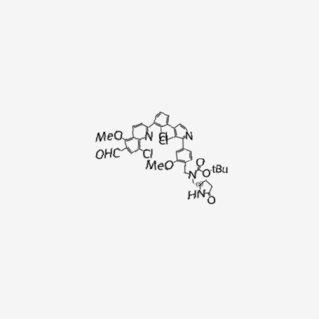 COc1cc(-c2nccc(-c3cccc(-c4ccc5c(OC)c(C=O)cc(Cl)c5n4)c3Cl)c2Cl)ccc1CN(C[C@@H]1CCC(=O)N1)C(=O)OC(C)(C)C